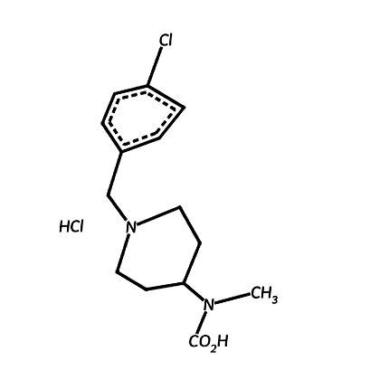 CN(C(=O)O)C1CCN(Cc2ccc(Cl)cc2)CC1.Cl